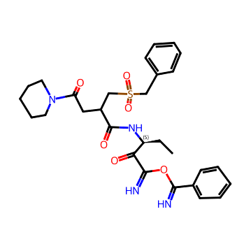 CC[C@H](NC(=O)C(CC(=O)N1CCCCC1)CS(=O)(=O)Cc1ccccc1)C(=O)C(=N)OC(=N)c1ccccc1